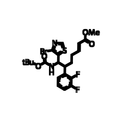 COC(=O)C=CCCC(c1cccc(F)c1F)C(NC(=O)OC(C)(C)C)c1scnc1Br